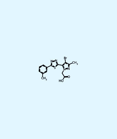 Cc1cccc(-c2nnc(-c3c(Br)c(C)nn3CC(=O)O)s2)c1